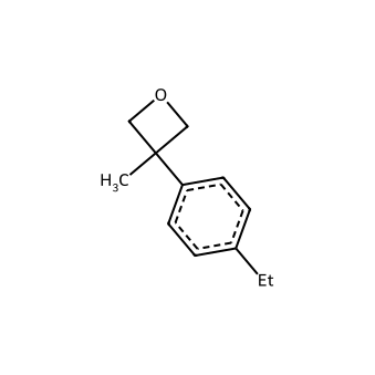 CCc1ccc(C2(C)COC2)cc1